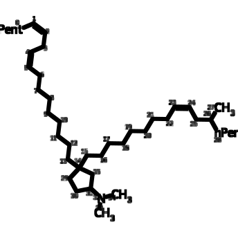 CCCCC/C=C\C/C=C\CCCCCCCCC1(CCCCCCCC/C=C\CC(C)CCCCC)CCC(N(C)C)C1